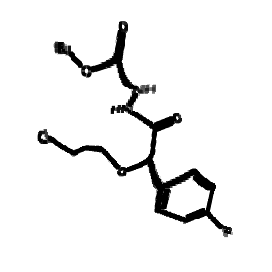 CC(C)(C)OC(=O)NNC(=O)C(OCCCl)c1ccc(F)cc1